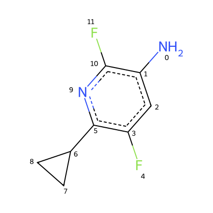 Nc1cc(F)c(C2CC2)nc1F